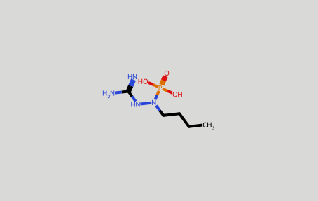 CCCCN(NC(=N)N)P(=O)(O)O